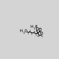 CCCCCCC1(COC)CCOC1=O